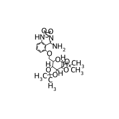 CC1(C)O[C@H]2OC(COc3cccc4c3C(N)=NS(=O)(=O)N4)[C@@H]3OC(C)(C)O[C@H]3[C@H]2O1